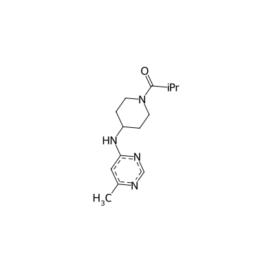 Cc1cc(NC2CCN(C(=O)C(C)C)CC2)ncn1